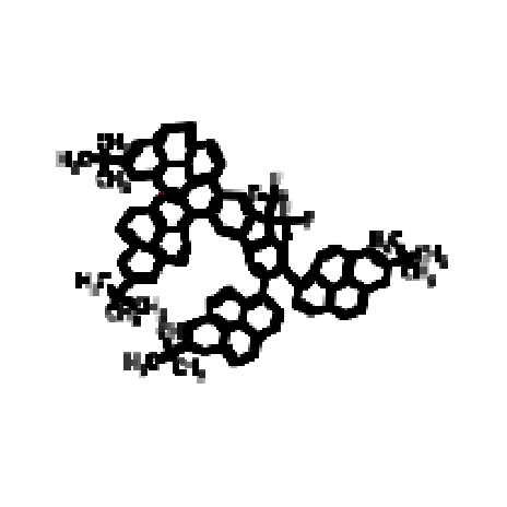 CC(C)(C)C1=CC2=CC=C3C=CC(c4cc5c(cc4-c4ccc6c7c8c(ccc47)C=C(C(C)(C)C)CC8=CC6)-c4cc(C6=C7C=CC8=C9C(=CC=C(C=C6)C79)CC(C(C)(C)C)=C8)c(-c6ccc7c8c9c(ccc68)C=C(C(C)(C)C)CC9=CC7)cc4C5(C(F)(F)F)C(F)(F)F)=C4C=CC(=C1)C2C34